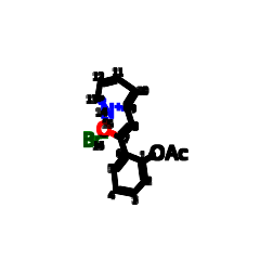 CC(=O)Oc1ccccc1-c1cc2cccc[n+]2o1.[Br-]